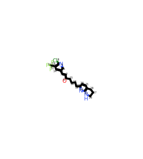 O=C(/C=C/c1cnc(Cl)c(C(F)(F)F)c1)CCCCc1ccc2c(n1)NCCC2